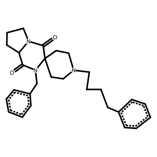 O=C1C2CCCN2C(=O)C2(CCN(CCCCc3ccccc3)CC2)N1Cc1ccccc1